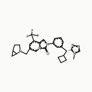 Cn1cnnc1[C@@H](c1cccc(-n2cc3c(C(F)(F)F)cc(CN4CCC5CC54)cn3c2=O)c1)C1CCC1